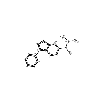 CCN(c1cnc2c(cnn2-c2ccccc2)n1)N(C)C